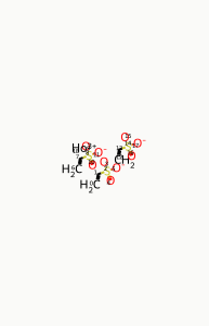 C=CS(=O)(=O)[O-].C=CS(=O)(=O)[O-].C=CS(=O)(=O)[O-].[Ho+3]